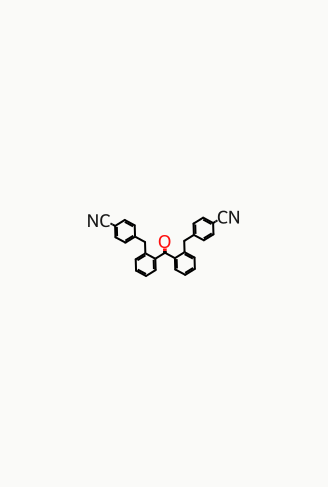 N#Cc1ccc(Cc2ccccc2C(=O)c2ccccc2Cc2ccc(C#N)cc2)cc1